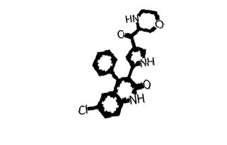 O=C(c1c[nH]c(-c2c(-c3ccccc3)c3cc(Cl)ccc3[nH]c2=O)c1)C1COCCN1